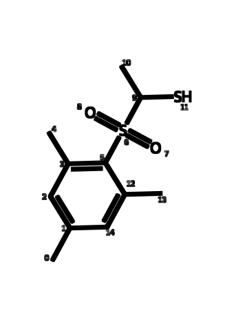 Cc1cc(C)c(S(=O)(=O)C(C)S)c(C)c1